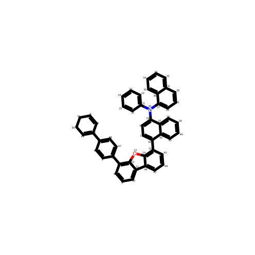 C1=CC(c2ccc(-c3cccc4c3oc3c(-c5ccc(N(c6ccccc6)c6cccc7ccccc67)c6ccccc56)cccc34)cc2)=CCC1